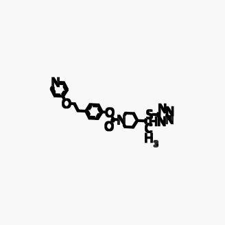 CC(Sc1nnn[nH]1)C1CCN(C(=O)Oc2ccc(CCOc3ccncc3)cc2)CC1